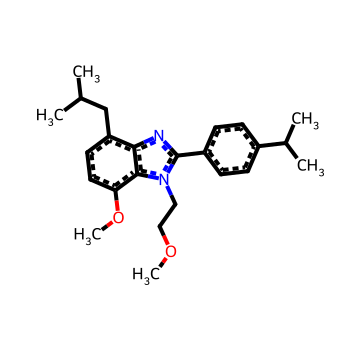 COCCn1c(-c2ccc(C(C)C)cc2)nc2c(CC(C)C)ccc(OC)c21